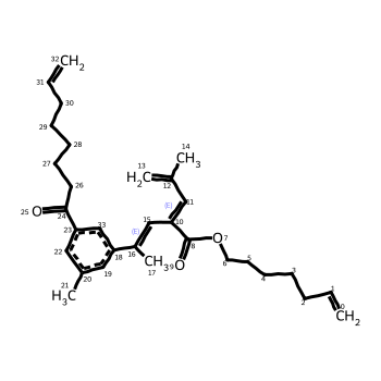 C=CCCCCCOC(=O)C(=C/C(=C)C)/C=C(\C)c1cc(C)cc(C(=O)CCCCCC=C)c1